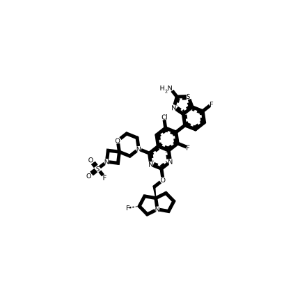 Nc1nc2c(-c3c(Cl)cc4c(N5CCOC6(C5)CN(S(=O)(=O)F)C6)nc(OC[C@@]56CCCN5C[C@H](F)C6)nc4c3F)ccc(F)c2s1